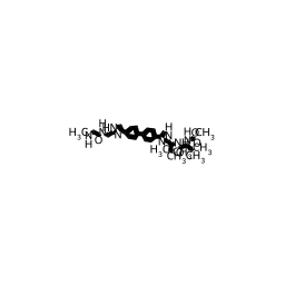 CNCC(=O)NCc1nc(-c2ccc(-c3ccc(-c4c[nH]c(C(NC(=O)C(NC(=O)OC)C(C)C)C(C)(C)C)n4)cc3)cc2)c[nH]1